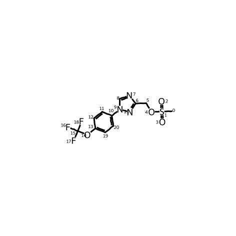 CS(=O)(=O)OCc1ncn(-c2ccc(OC(F)(F)F)cc2)n1